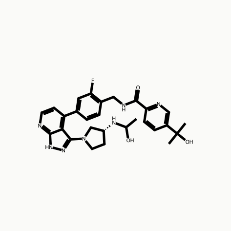 CC(O)N[C@@H]1CCN(c2n[nH]c3nccc(-c4ccc(CNC(=O)c5ccc(C(C)(C)O)cn5)c(F)c4)c23)C1